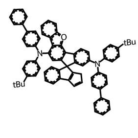 CC(C)(C)c1ccc(N(c2ccc(-c3ccccc3)cc2)c2ccc3c(c2)C2(C4=C(C=CC4)c4ccccc42)c2cc(N(c4ccc(-c5ccccc5)cc4)c4ccc(C(C)(C)C)cc4)c4c(oc5ccccc54)c2-3)cc1